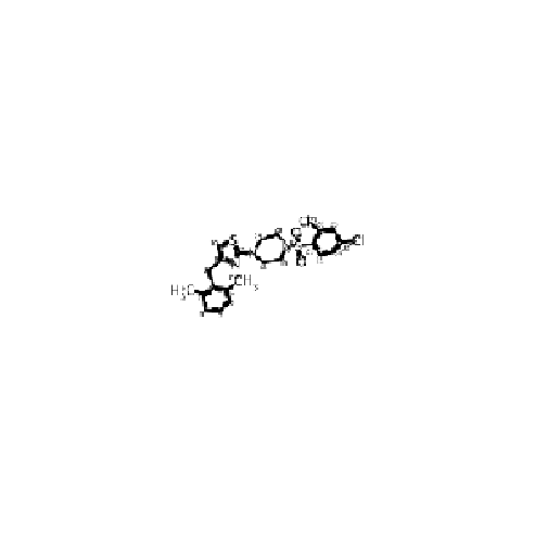 Cc1cccc(C)c1Cc1csc(N2CCN(S(=O)(=O)c3ccc(Cl)cc3Cl)CC2)n1